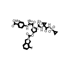 CC[C@@H]1C[C@]1(NC(=O)[C@@H]1C[C@@H](OC(=O)N2Cc3cccc(F)c3C2)CN1C(=O)[C@@H](Nc1ccc(C(=O)OC)cc1)C(C)(C)C)C(=O)NS(=O)(=O)C1CC1